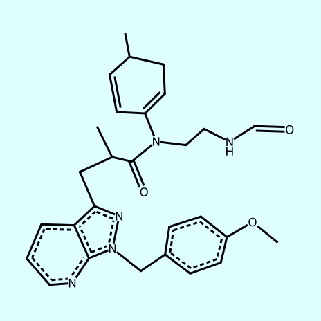 COc1ccc(Cn2nc(CC(C)C(=O)N(CCNC=O)C3=CCC(C)C=C3)c3cccnc32)cc1